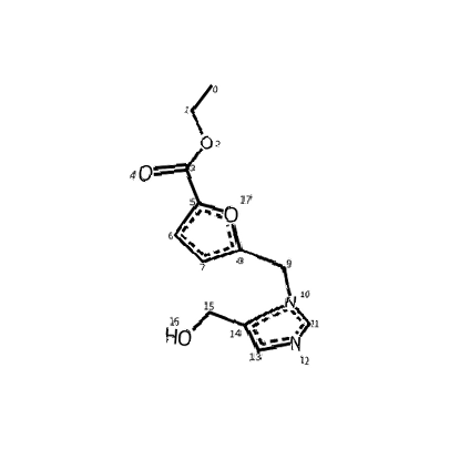 CCOC(=O)c1ccc(Cn2cncc2CO)o1